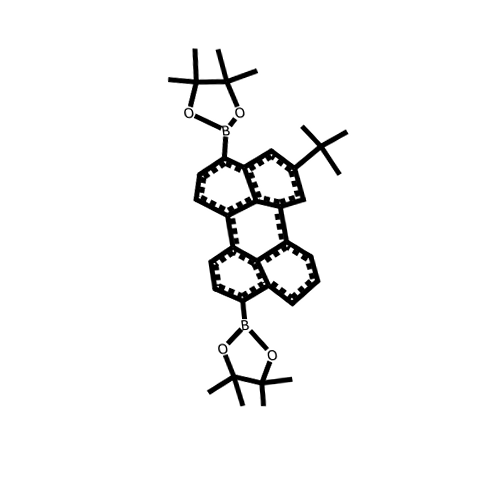 CC(C)(C)c1cc2c(B3OC(C)(C)C(C)(C)O3)ccc3c4ccc(B5OC(C)(C)C(C)(C)O5)c5cccc(c(c1)c23)c54